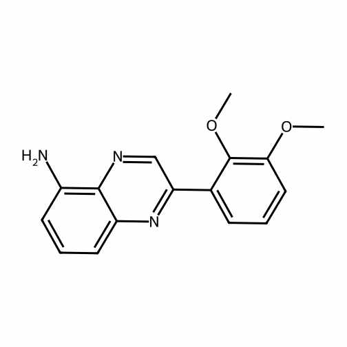 COc1cccc(-c2cnc3c(N)cccc3n2)c1OC